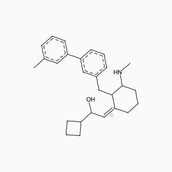 CNC1CCC/C(=C/C(O)C2CCC2)C1Cc1cccc(-c2cccc(C)c2)c1